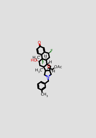 CC(=O)OCC(=O)[C@@]12CN(Cc3cccc(C)c3)C[C@@H]1C[C@H]1[C@@H]3C[C@H](F)C4=CC(=O)C=C[C@]4(C)[C@@]3(F)[C@@H](O)C[C@@]12C